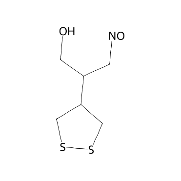 O=NCC(CO)C1CSSC1